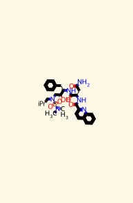 CC(C)CN(C[C@@H](O)[C@H](Cc1ccccc1)NC(=O)[C@H](CC(N)=O)NC(=O)c1ccc2ccccc2n1)S(=O)(=O)N(C)C